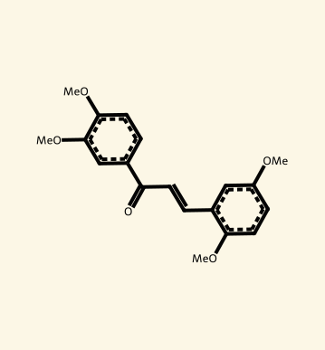 COc1ccc(OC)c(/C=C/C(=O)c2ccc(OC)c(OC)c2)c1